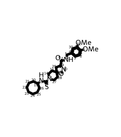 COc1ccc(CNC(=O)C2=NOC3(CCN(C(=S)NC4CCCCCCC4)CC3)C2)cc1OC